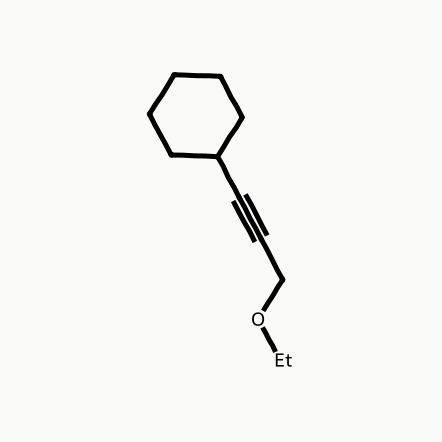 CCOCC#CC1CCCCC1